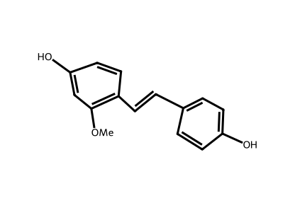 COc1cc(O)ccc1C=Cc1ccc(O)cc1